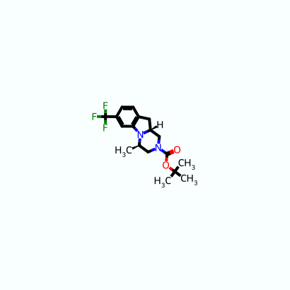 C[C@@H]1CN(C(=O)OC(C)(C)C)C[C@H]2Cc3ccc(C(F)(F)F)cc3N21